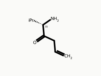 C=CCC(=O)[C@@H](N)C(C)C